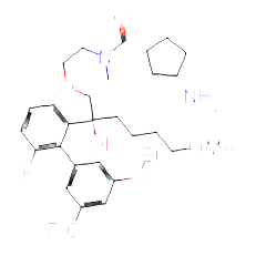 CCOc1cc(-c2c(F)cccc2[C@@](O)(CCCCOC)[C@H]2CN(C(=O)[C@@H]3CC[C@H](N)C3)CCO2)cc(C(F)(F)F)c1